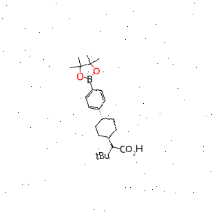 CC(C)(C)C(C(=O)O)[C@H]1CC[C@H](c2ccc(B3OC(C)(C)C(C)(C)O3)cc2)CC1